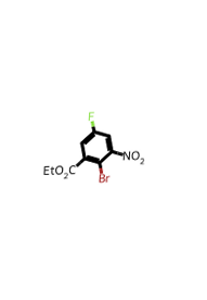 CCOC(=O)c1cc(F)cc([N+](=O)[O-])c1Br